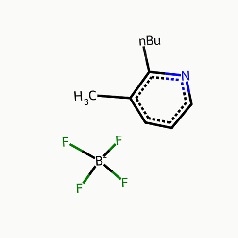 CCCCc1ncccc1C.F[B-](F)(F)F